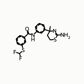 CC1(c2cccc(NC(=O)c3cccc(SC(F)F)c3)c2)CCSC(N)=N1